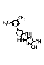 N#Cc1nc2c(nc1C#N)Nc1cc(-c3cc(C(F)(F)F)cc(C(F)(F)F)c3)ccc1N2